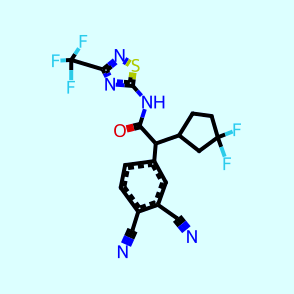 N#Cc1ccc(C(C(=O)Nc2nc(C(F)(F)F)ns2)C2CCC(F)(F)C2)cc1C#N